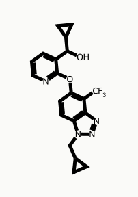 OC(c1cccnc1Oc1ccc2c(nnn2CC2CC2)c1C(F)(F)F)C1CC1